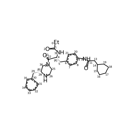 CCC(=O)N[C@H](Cc1ccc(NC(=O)CC2CCCCC2)cc1)C(=O)N1CCN[C@H](Cc2ccccc2)C1